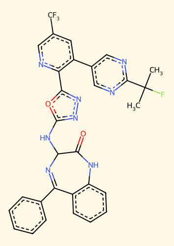 CC(C)(F)c1ncc(-c2cc(C(F)(F)F)cnc2-c2nnc(NC3N=C(c4ccccc4)c4ccccc4NC3=O)o2)cn1